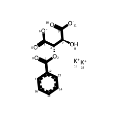 O=C(O[C@H](C(=O)[O-])[C@H](O)C(=O)[O-])c1ccccc1.[K+].[K+]